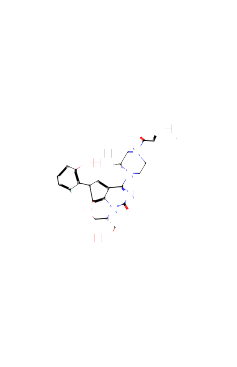 C=CC(=O)N1CCN(c2nc(=O)n3c4c2=CC(c2c(O)cccc2F)C=4OC[C@@H]3CO)[C@@H](C)C1